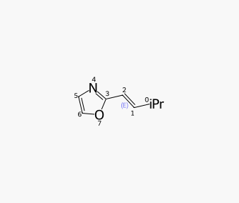 CC(C)/C=C/c1ncco1